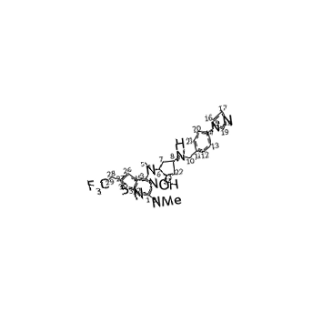 CNc1nc(N(C)[C@H]2C[C@@H](NCc3ccc(-n4ccnc4)cc3)C[C@H]2O)c2cc(CC(F)(F)F)sc2n1